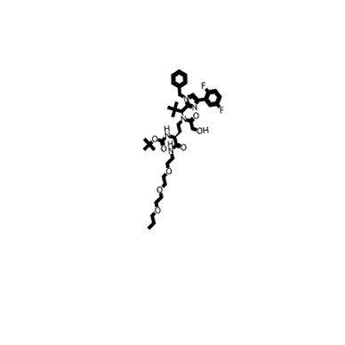 CCCOCCOCCOCCNC(=O)[C@H](CCN(C(=O)CO)[C@@H](c1nc(-c2cc(F)ccc2F)cn1Cc1ccccc1)C(C)(C)C)NC(=O)OC(C)(C)C